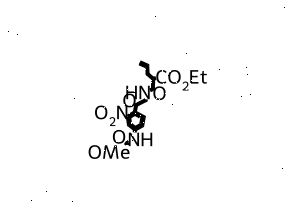 C=CCC(C(=O)NCC(=O)c1ccc(NC(=O)OC)cc1[N+](=O)[O-])C(=O)OCC